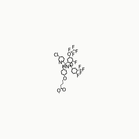 COC(=O)CCCOc1ccc(C[C@](NC(=O)c2ccc(F)c(C(F)(F)F)c2)(c2cc(F)cc(OC(F)(F)C(F)F)c2)c2ccc(Cl)cn2)cc1